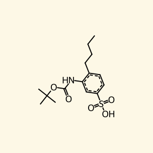 CCCCc1ccc(S(=O)(=O)O)cc1NC(=O)OC(C)(C)C